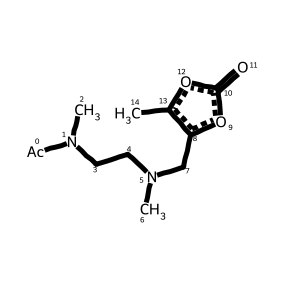 CC(=O)N(C)CCN(C)Cc1oc(=O)oc1C